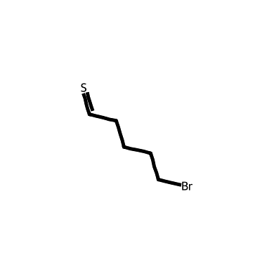 S=CCCCCBr